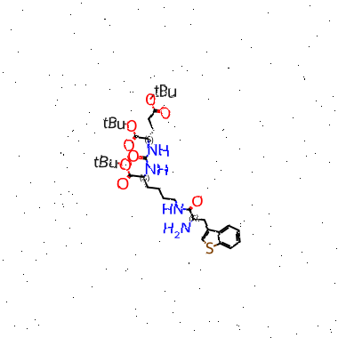 CC(C)(C)OC(=O)CC[C@H](NC(=O)N[C@@H](CCCCNC(=O)[C@@H](N)Cc1csc2ccccc12)C(=O)OC(C)(C)C)C(=O)OC(C)(C)C